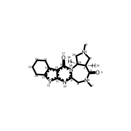 CN1C[C@H]2C(=O)N(C)Cc3nc4sc5c(c4c(=O)n3[C@H]2C1)CCCC5